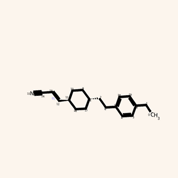 CCc1ccc(CC[C@H]2CC[C@H](/C=C/C#N)CC2)cc1